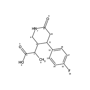 CC(C(=O)O)C1CNC(=O)CC1c1ccc(F)cc1